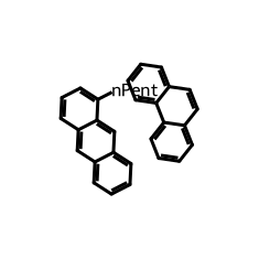 CCCCCc1cccc2cc3ccccc3cc12.c1ccc2c(c1)ccc1ccccc12